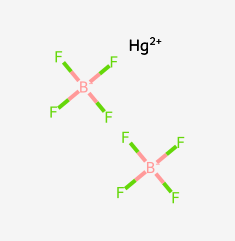 F[B-](F)(F)F.F[B-](F)(F)F.[Hg+2]